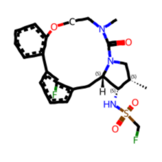 C[C@H]1CN2C(=O)N(C)CCOc3ccccc3-c3cccc(c3F)C[C@H]2[C@H]1NS(=O)(=O)CF